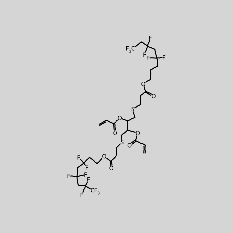 C=CC(=O)OC(CSCCC(=O)OCCCC(F)(F)CC(F)(F)CC(F)(F)F)C(CSCCC(=O)OCCC(F)(F)CC(F)(F)CC(F)(F)C(F)(F)F)OC(=O)C=C